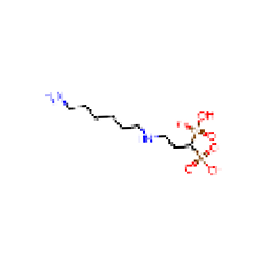 NCCCCCCNCCC(S(=O)(=O)O)S(=O)(=O)O